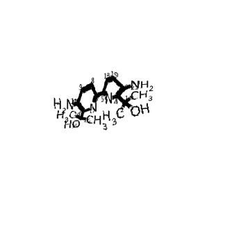 CC(C)(O)c1nc(-c2ccc(N)c(C(C)(C)O)n2)ccc1N